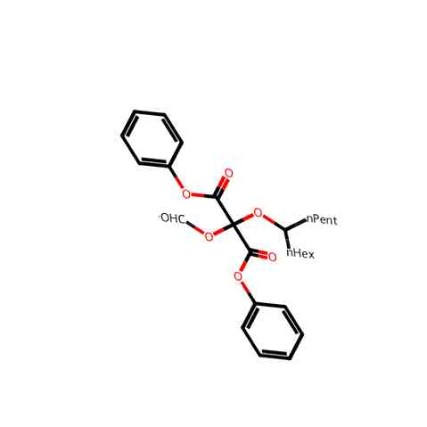 CCCCCCC(CCCCC)OC(O[C]=O)(C(=O)Oc1ccccc1)C(=O)Oc1ccccc1